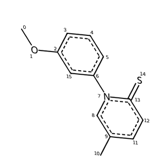 COc1cccc(-n2cc(C)ccc2=S)c1